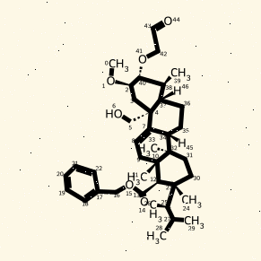 CO[C@@H]1C[C@]2(CO)C3=CC[C@@]4(C)[C@H](C(=O)OCc5ccccc5)[C@@](C)([C@H](C)C(C)C)CC[C@]4(C)[C@H]3CC[C@H]2[C@H](C)[C@H]1OCC=O